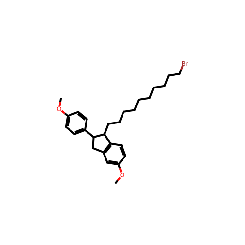 COc1ccc(C2Cc3cc(OC)ccc3C2CCCCCCCCCCBr)cc1